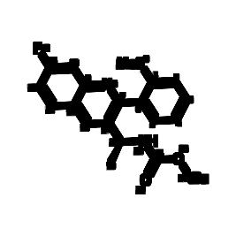 CSc1ccccc1-c1nc2cc(F)ccc2cc1[C@H](C)NC(=O)OC(C)(C)C